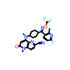 Cc1nc(F)ccc1/C(=N\OC(F)F)C1CCC(N(C)c2cc(=O)n(C)c3ccc(C#N)nc23)CC1